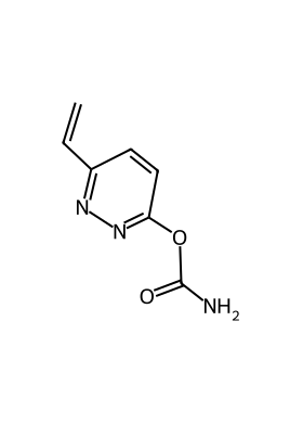 C=Cc1ccc(OC(N)=O)nn1